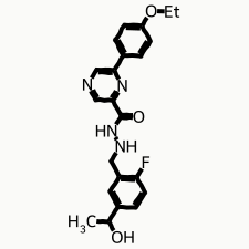 CCOc1ccc(-c2cncc(C(=O)NNCc3cc(C(C)O)ccc3F)n2)cc1